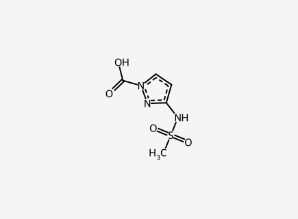 CS(=O)(=O)Nc1ccn(C(=O)O)n1